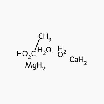 CC(=O)O.O.O.[CaH2].[MgH2]